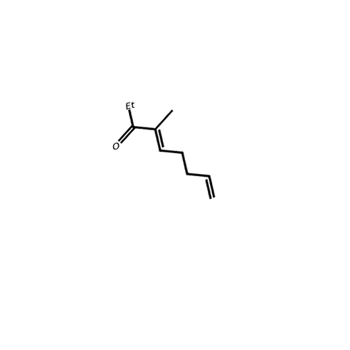 C=CCC/C=C(\C)C(=O)CC